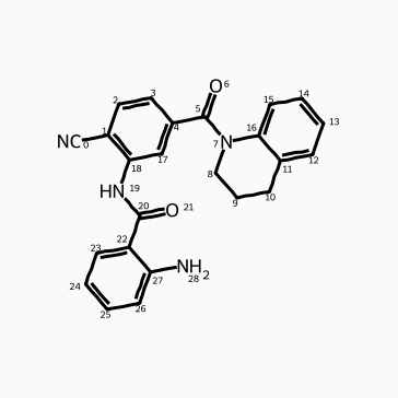 N#Cc1ccc(C(=O)N2CCCc3ccccc32)cc1NC(=O)c1ccccc1N